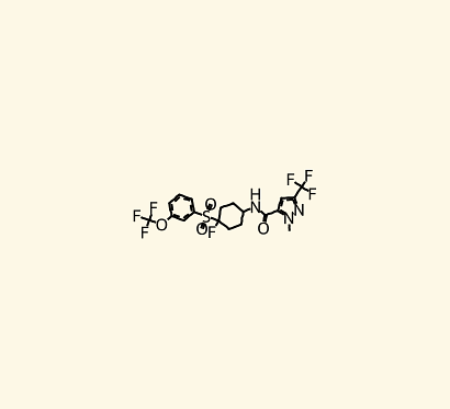 Cn1nc(C(F)(F)F)cc1C(=O)NC1CCC(F)(S(=O)(=O)c2cccc(OC(F)(F)F)c2)CC1